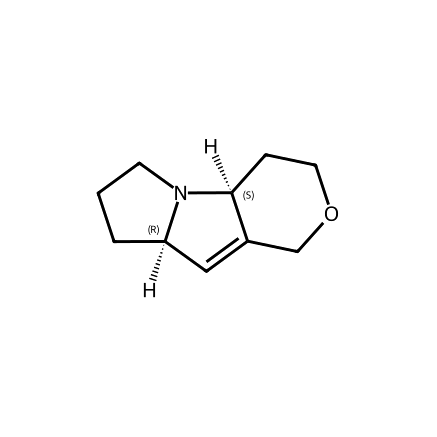 C1=C2COCC[C@@H]2N2CCC[C@H]12